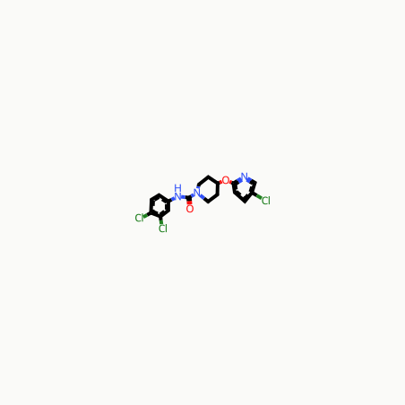 O=C(Nc1ccc(Cl)c(Cl)c1)N1CCC(Oc2ccc(Cl)cn2)CC1